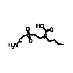 CCCCN(CCS(=O)(=O)CCN)C(=O)O